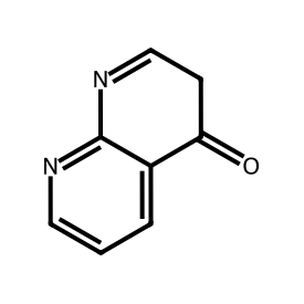 O=C1CC=Nc2ncccc21